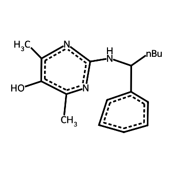 CCCCC(Nc1nc(C)c(O)c(C)n1)c1ccccc1